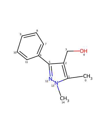 Cc1c(CO)c(-c2ccccc2)nn1C